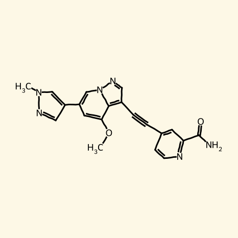 COc1cc(-c2cnn(C)c2)cn2ncc(C#Cc3ccnc(C(N)=O)c3)c12